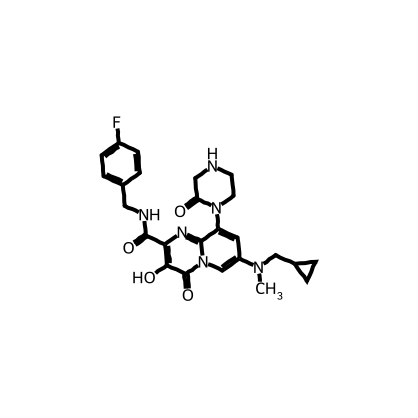 CN(CC1CC1)c1cc(N2CCNCC2=O)c2nc(C(=O)NCc3ccc(F)cc3)c(O)c(=O)n2c1